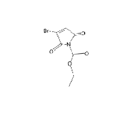 CCOC(=O)N1C(=O)C=C(Br)C1=O